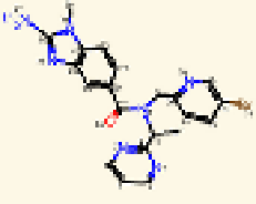 C[C@@H](c1ncccn1)N(Cc1ccc(Br)cn1)C(=O)c1ccc2c(c1)nc(N)n2C